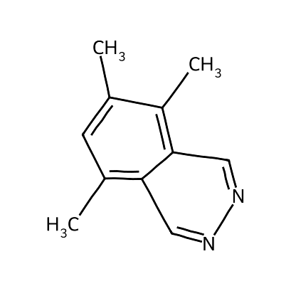 Cc1cc(C)c2cnncc2c1C